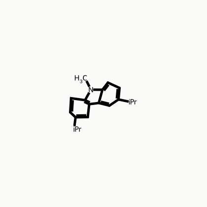 CC(C)c1ccc2c(c1)c1cc(C(C)C)ccc1n2C